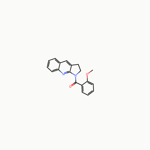 COc1ccccc1C(=O)N1CCc2cc3ccccc3nc21